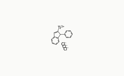 [Cl-].[Cl-].[Cl-].[Ti+3][C]1=Cc2ccccc2C1c1ccccc1